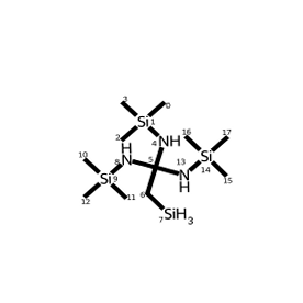 C[Si](C)(C)NC(C[SiH3])(N[Si](C)(C)C)N[Si](C)(C)C